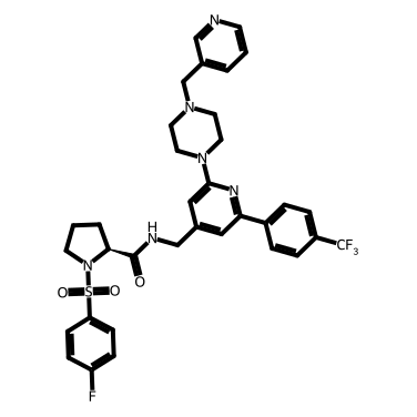 O=C(NCc1cc(-c2ccc(C(F)(F)F)cc2)nc(N2CCN(Cc3cccnc3)CC2)c1)[C@@H]1CCCN1S(=O)(=O)c1ccc(F)cc1